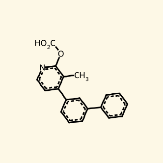 Cc1c(-c2cccc(-c3ccccc3)c2)ccnc1OC(=O)O